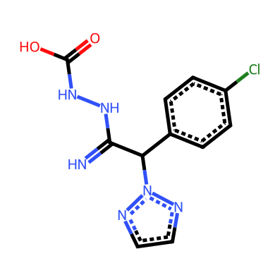 N=C(NNC(=O)O)C(c1ccc(Cl)cc1)n1nccn1